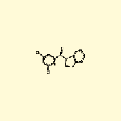 O=C(c1cc(Cl)cc(Cl)n1)N1CCc2ccccc21